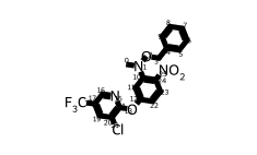 CN(OCc1ccccc1)c1cc(Oc2ncc(C(F)(F)F)cc2Cl)ccc1[N+](=O)[O-]